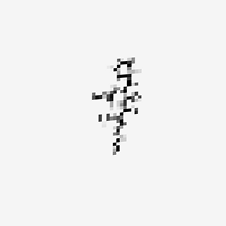 C=CCSC[C@H](N)C(=O)NC(=O)C(CSC(C)=O)Cc1ccccc1